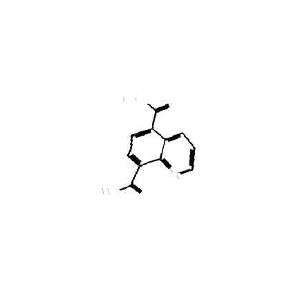 O=C(O)c1ccc(C(=O)O)c2ncccc12